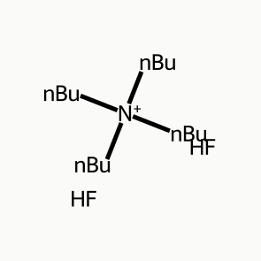 CCCC[N+](CCCC)(CCCC)CCCC.F.F